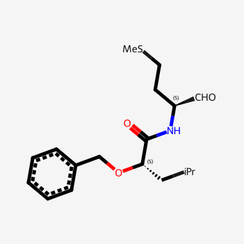 CSCC[C@@H](C=O)NC(=O)[C@H](CC(C)C)OCc1ccccc1